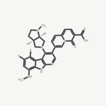 CNc1cc(F)c(F)c2c1[nH]c1ncc(-c3ccc4ccc(C(=O)O)c(=O)n4c3)c(N3C[C@H]4CCN(C)[C@H]4C3)c12